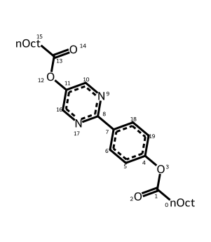 CCCCCCCCC(=O)Oc1ccc(-c2ncc(OC(=O)CCCCCCCC)cn2)cc1